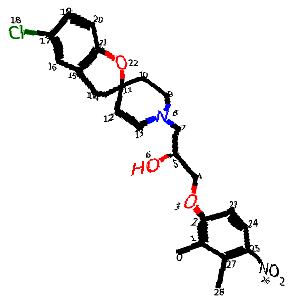 Cc1c(OC[C@@H](O)CN2CCC3(CC2)Cc2cc(Cl)ccc2O3)ccc([N+](=O)[O-])c1C